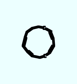 [C]1=CC=CCCC=CC=CCCCC1